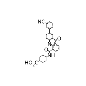 N#Cc1cccc(-c2ccc3nc4c(C(=O)NC5CCC(C(=O)O)CC5)cccn4c(=O)c3c2)c1